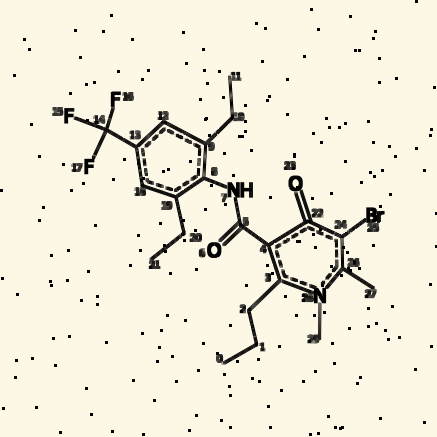 CCCc1c(C(=O)Nc2c(CC)cc(C(F)(F)F)cc2CC)c(=O)c(Br)c(C)n1C